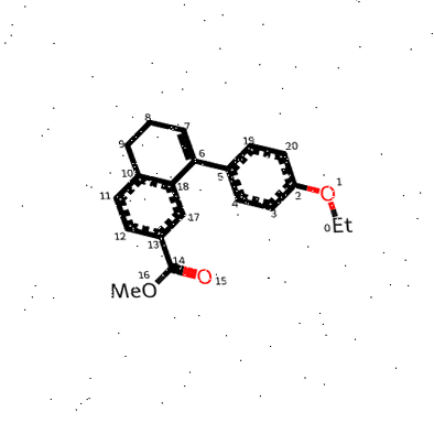 CCOc1ccc(C2=CCCc3ccc(C(=O)OC)cc32)cc1